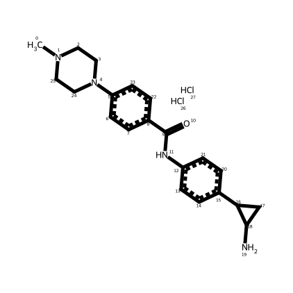 CN1CCN(c2ccc(C(=O)Nc3ccc(C4CC4N)cc3)cc2)CC1.Cl.Cl